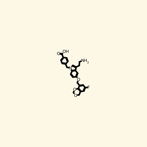 NCCc1cn(Cc2ccc(C(=O)O)cc2)c2ccc(OCc3cc(F)cc4c3OCOC4)cc12